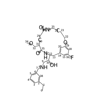 CCc1cccc(CNCC(O)C2Cc3cc(F)cc(c3)OCCCCNC(=O)CCC(COC)C(=O)N2)c1